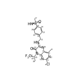 Cc1nc(Cl)nc2c1nc(NCc1ccc(S(C)(=N)=O)cc1)c(=O)n2[C@@H](C)C(F)(F)F